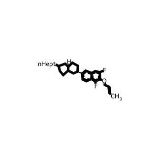 C/C=C/COc1c(F)cc2cc([C@@H]3CC[C@@H]4CC(CCCCCCC)CCC4C3)ccc2c1F